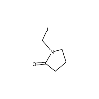 O=C1CCCN1CI